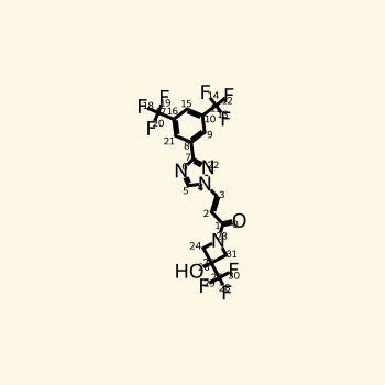 O=C(C=Cn1cnc(-c2cc(C(F)(F)F)cc(C(F)(F)F)c2)n1)N1CC(O)(C(F)(F)F)C1